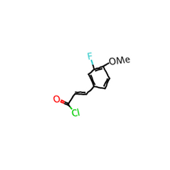 COc1ccc(C=CC(=O)Cl)cc1F